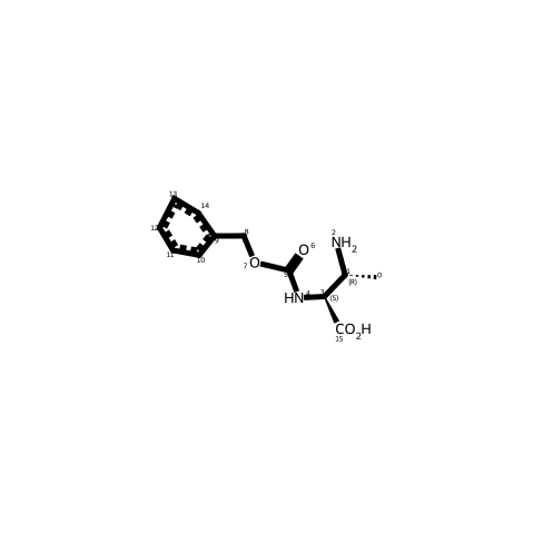 C[C@@H](N)[C@H](NC(=O)OCc1ccccc1)C(=O)O